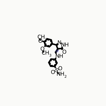 COc1ccc(C2=NNC(=O)/C2=C\Nc2cccc(S(N)(=O)=O)c2)cc1OC